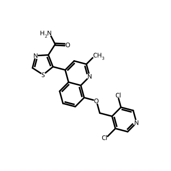 Cc1cc(-c2scnc2C(N)=O)c2cccc(OCc3c(Cl)cncc3Cl)c2n1